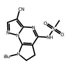 CCC(C)N1CCc2c(NS(C)(=O)=O)nc3c(C#N)cnn3c21